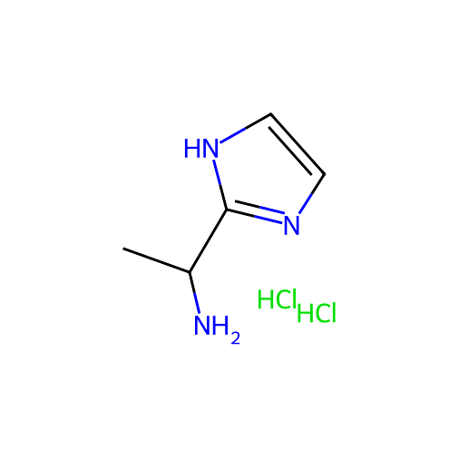 CC(N)c1ncc[nH]1.Cl.Cl